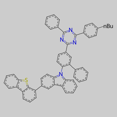 CCCCc1ccc(-c2nc(-c3ccccc3)nc(-c3ccc(-n4c5ccccc5c5cc(-c6cccc7c6sc6ccccc67)ccc54)c(-c4ccccc4)c3)n2)cc1